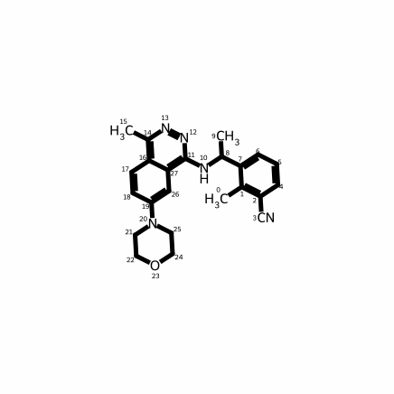 Cc1c(C#N)cccc1C(C)Nc1nnc(C)c2ccc(N3CCOCC3)cc12